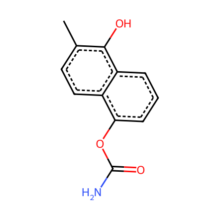 Cc1ccc2c(OC(N)=O)cccc2c1O